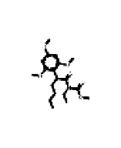 CCCCC(C(=O)N(CC)C(=O)OC)c1c(OC)cc(OC)cc1OC